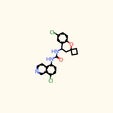 O=C(Nc1ccc(Cl)c2cnccc12)NC1CC2(CCC2)Oc2ccc(Cl)cc21